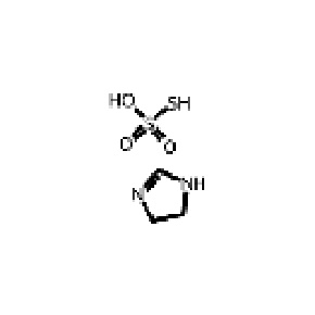 C1=NCCN1.O=S(=O)(O)S